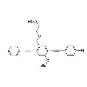 CCCCOc1cc(C#Cc2ccc(C)cc2)c(COCCS(=O)(=O)O)cc1C#Cc1ccc(CC)cc1